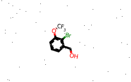 OCc1cccc(OC(F)(F)F)c1Br